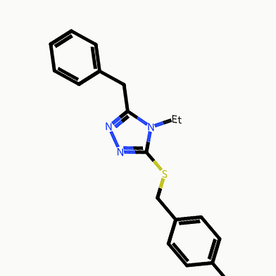 CCn1c(Cc2ccccc2)nnc1SCc1ccc(C)cc1